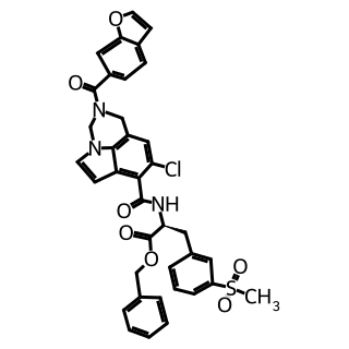 CS(=O)(=O)c1cccc(C[C@H](NC(=O)c2c(Cl)cc3c4c2ccn4CN(C(=O)c2ccc4ccoc4c2)C3)C(=O)OCc2ccccc2)c1